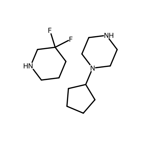 C1CCC(N2CCNCC2)C1.FC1(F)CCCNC1